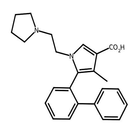 Cc1c(C(=O)O)cn(CCN2CCCC2)c1-c1ccccc1-c1ccccc1